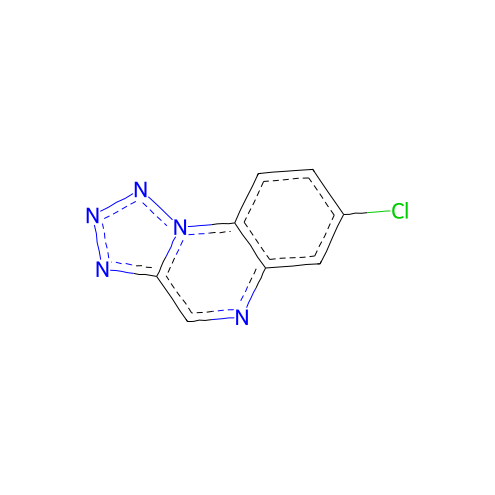 Clc1ccc2c(c1)ncc1nnnn12